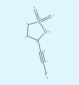 O=S1(=O)CCC(C#CF)O1